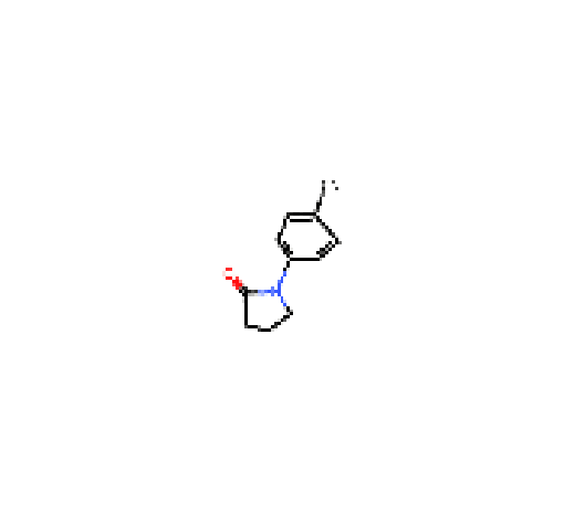 N#Cc1ccc(N2CCCC2=O)cc1